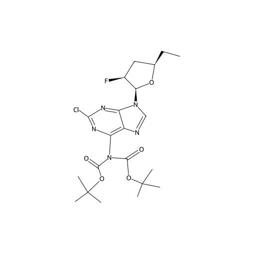 CC[C@@H]1C[C@H](F)[C@H](n2cnc3c(N(C(=O)OC(C)(C)C)C(=O)OC(C)(C)C)nc(Cl)nc32)O1